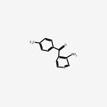 Nc1cnccc1C(=O)c1ccc(C(F)(F)F)cc1